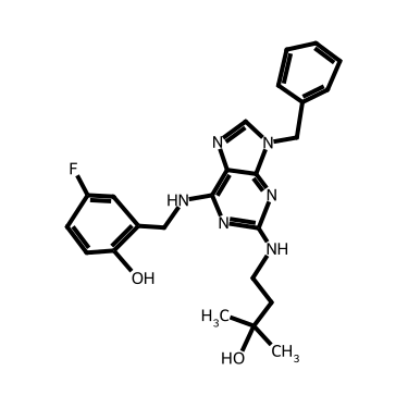 CC(C)(O)CCNc1nc(NCc2cc(F)ccc2O)c2ncn(Cc3ccccc3)c2n1